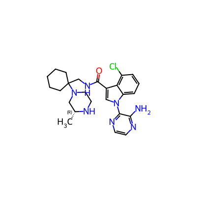 C[C@@H]1CN(C2(CNC(=O)c3cn(-c4nccnc4N)c4cccc(Cl)c34)CCCCC2)CCN1